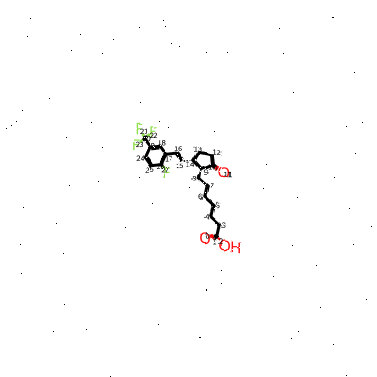 O=C(O)CCCCCC[C@@H]1C(=O)CC[C@H]1C=Cc1cc(C(F)(F)F)ccc1F